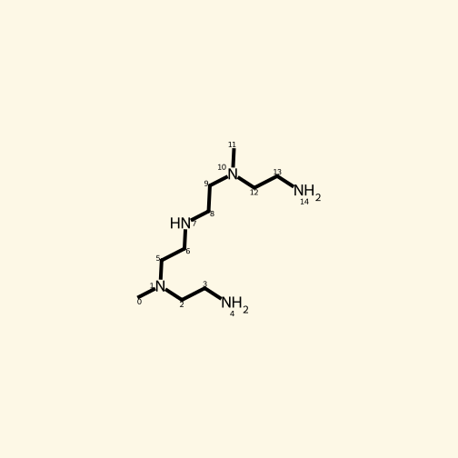 CN(CCN)CCNCCN(C)CCN